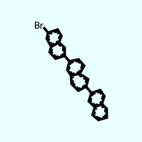 Brc1ccc2cc(-c3ccc4cc(-c5ccc6ccccc6c5)ccc4c3)ccc2c1